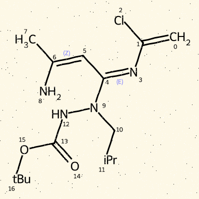 C=C(Cl)/N=C(\C=C(\C)N)N(CC(C)C)NC(=O)OC(C)(C)C